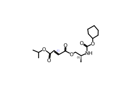 CC(C)OC(=O)/C=C/C(=O)OC[C@H](C)NC(=O)OC1CCCCC1